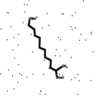 [CH2]CCCCC(C)CCCCCCCCCCCCCCCCCC